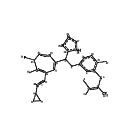 CC(C)=C(Sc1cc(CC(C2=CC(/C=N/C3CC3)=C(C)C(F)C=N2)c2nnc[nH]2)ccc1C)C(F)(F)F